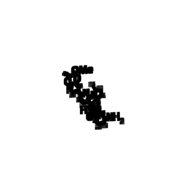 COC(=O)C(C)Oc1ccc(-c2ccc(C(=O)NS(=O)(=O)c3cccc(N)n3)c(N3[C@H](C)CC[C@@H]3C)n2)cn1